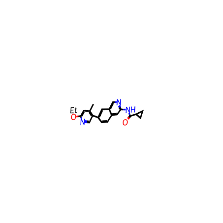 CCOc1cc(C)c(-c2ccc3cc(NC(=O)C4CC4)ncc3c2)cn1